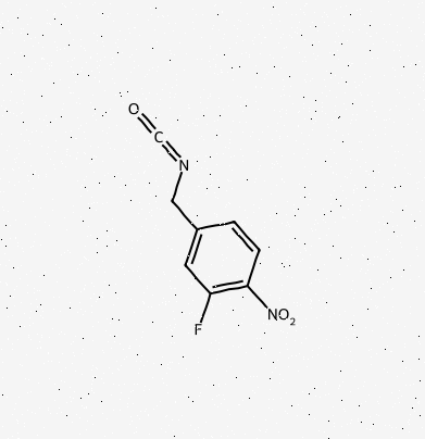 O=C=NCc1ccc([N+](=O)[O-])c(F)c1